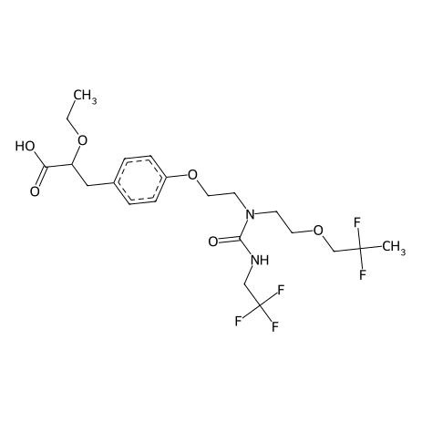 CCOC(Cc1ccc(OCCN(CCOCC(C)(F)F)C(=O)NCC(F)(F)F)cc1)C(=O)O